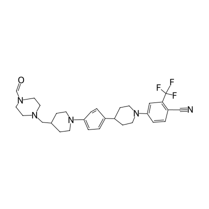 N#Cc1ccc(N2CCC(c3ccc(N4CCC(CN5CCN(C=O)CC5)CC4)cc3)CC2)cc1C(F)(F)F